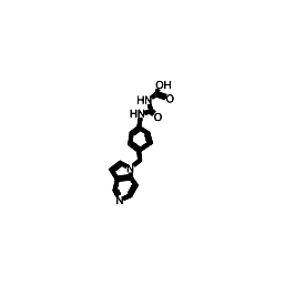 O=C(O)NC(=O)Nc1ccc(Cn2ccc3cnccc32)cc1